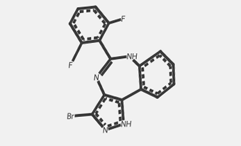 Fc1cccc(F)c1C1=Nc2c(Br)n[nH]c2-c2ccccc2N1